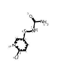 NC(=O)NSc1ccc(Cl)nc1